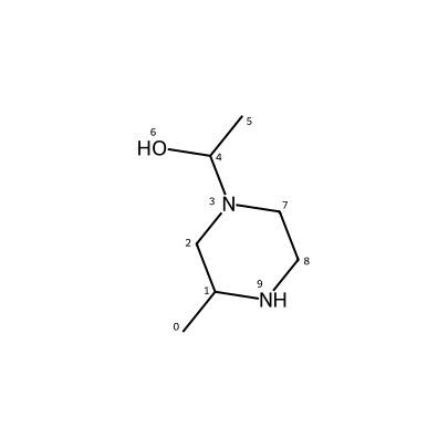 CC1CN(C(C)O)CCN1